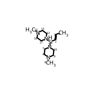 CC=C[SiH](N1CCN(C)CC1)N1CCN(C)CC1